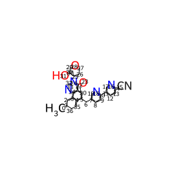 CC1C=c2c(c(Cc3ccc(-c4ccc(C#N)nc4)nc3)cc3c(=O)n(C4CCOC[C@@H]4O)cnc23)=CC1